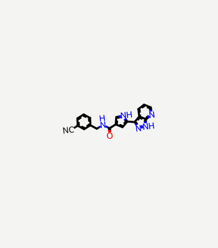 N#Cc1cccc(CNC(=O)c2c[nH]c(-c3n[nH]c4ncccc34)c2)c1